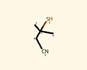 CC(C)(S)CC#N